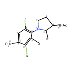 CC(=O)NC1CCN(c2c(F)cc([N+](=O)[O-])c(F)c2C)C1C